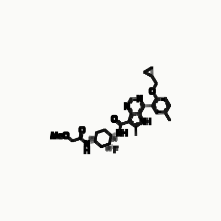 COCC(=O)N[C@@H]1CC[C@H](NC(=O)c2c(C)[nH]c3c(-c4cc(C)ccc4OCC4CC4)ncnc23)[C@H](F)C1